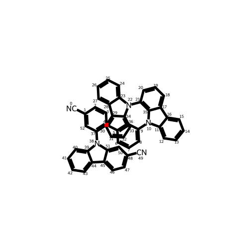 N#Cc1ccc(-c2cccc(-n3c4ccccc4c4cccc(-n5c6ccccc6c6ccccc65)c43)c2)c(-n2c3ccccc3c3ccc(C#N)cc32)c1